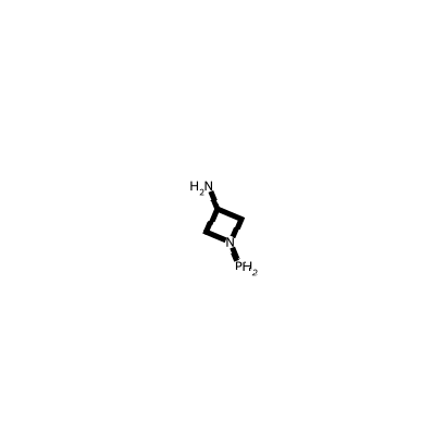 NC1CN(P)C1